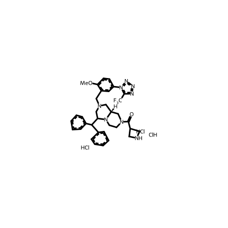 COc1ccc(-n2nnnc2C(F)(F)F)cc1CN1CC(C(c2ccccc2)c2ccccc2)N2CCN(C(=O)C3CNC3)C[C@H]2C1.Cl.Cl.Cl